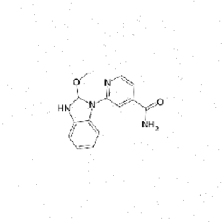 COC1Nc2ccccc2N1c1cc(C(N)=O)ccn1